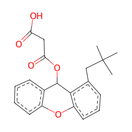 CC(C)(C)Cc1cccc2c1C(OC(=O)CC(=O)O)c1ccccc1O2